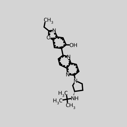 CCc1nc2cc(O)c(-c3ccc4nc(N5CC[C@H](NC(C)(C)C)C5)ccc4n3)cc2o1